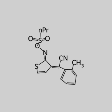 CCCS(=O)(=O)ON=C1SC=C/C1=C(/C#N)c1ccccc1C